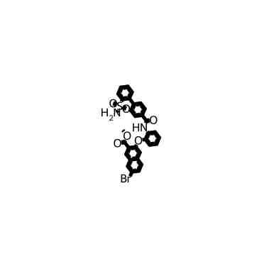 COC(=O)c1cc2cc(Br)ccc2cc1Oc1ccccc1NC(=O)c1ccc(-c2ccccc2S(N)(=O)=O)cc1